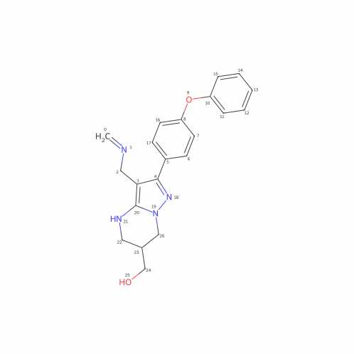 C=NCc1c(-c2ccc(Oc3ccccc3)cc2)nn2c1NCC(CO)C2